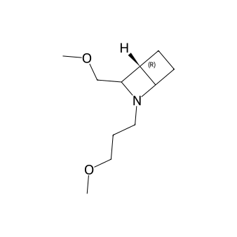 COCCCN1C2CC[C@H]2C1COC